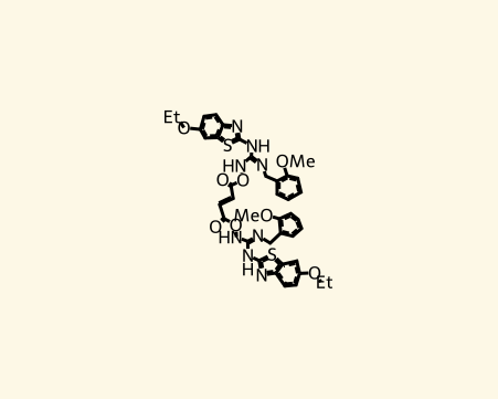 CCOc1ccc2nc(NC(=NCc3ccccc3OC)NOC(=O)/C=C/C(=O)ONC(=NCc3ccccc3OC)Nc3nc4ccc(OCC)cc4s3)sc2c1